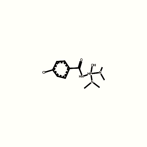 CN(C)[PH](O)(NC(=O)c1ccc(Cl)cc1)N(C)C